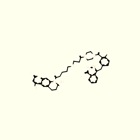 CC1(C)CCc2cc3c(C(F)(F)F)cc(=O)oc3cc2N1C(=O)CCCCOCCC(=O)N1CCN(C(=O)c2cc(Cc3n[nH]c(=O)c4ccccc34)ccc2F)CC1